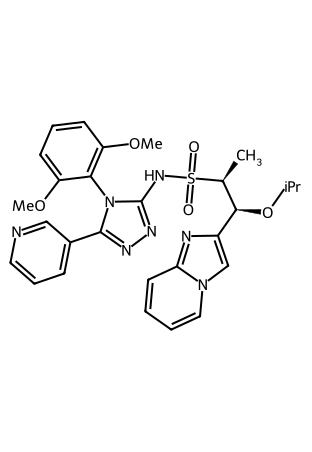 COc1cccc(OC)c1-n1c(NS(=O)(=O)[C@@H](C)[C@@H](OC(C)C)c2cn3ccccc3n2)nnc1-c1cccnc1